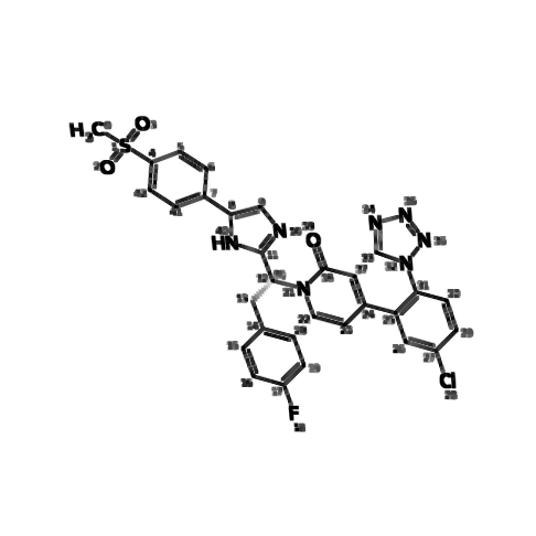 CS(=O)(=O)c1ccc(-c2cnc([C@@H](Cc3ccc(F)cc3)n3ccc(-c4cc(Cl)ccc4-n4cnnn4)cc3=O)[nH]2)cc1